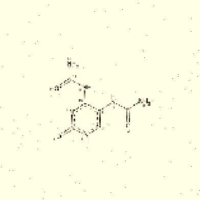 NC(=O)Nc1c[nH]c(=O)nc1NC(N)=O